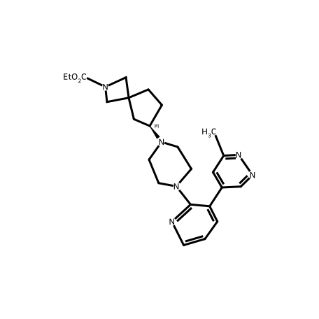 CCOC(=O)N1CC2(CC[C@@H](N3CCN(c4ncccc4-c4cnnc(C)c4)CC3)C2)C1